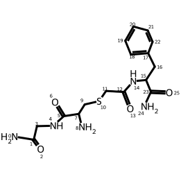 NC(=O)CNC(=O)C(N)CSCC(=O)NC(Cc1ccccc1)C(N)=O